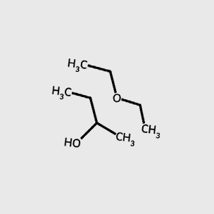 CCC(C)O.CCOCC